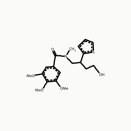 COc1cc(C(=O)N(C)CC(CCO)c2cccs2)cc(OC)c1OC